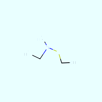 CCSN(C)CC